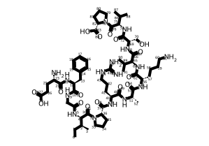 CC[C@H](C)[C@H](NC(=O)CNC(=O)[C@H](Cc1ccccc1)NC(=O)[C@@H](N)CCC(=O)O)C(=O)N1CCC[C@H]1C(=O)N[C@@H](CCCNC(=N)N)C(=O)N[C@@H](C)C(=O)N[C@@H](CCCCN)C(=O)N[C@H](C(=O)N[C@@H](CO)C(=O)N[C@H](C(=O)N1CCC[C@H]1C(=O)O)C(C)C)C(C)C